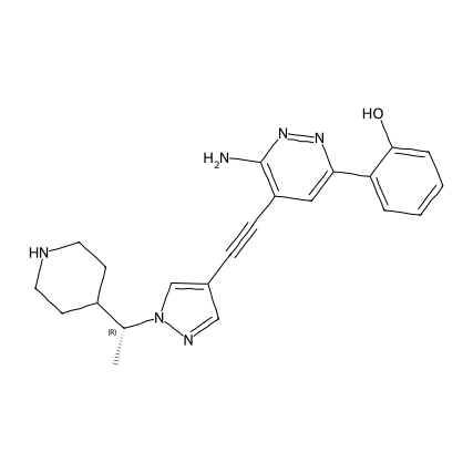 C[C@H](C1CCNCC1)n1cc(C#Cc2cc(-c3ccccc3O)nnc2N)cn1